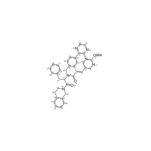 COc1ncc(C=CC(=O)N(Cc2ccc(-c3cnccn3)cc2)C(Cc2ccccc2)C(=O)N2CCc3ccccc3C2)cn1